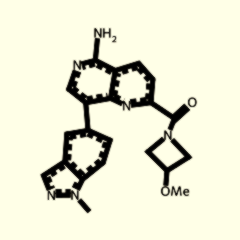 COC1CN(C(=O)c2ccc3c(N)ncc(-c4ccc5c(cnn5C)c4)c3n2)C1